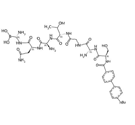 CCCCc1ccc(-c2ccc(C(=O)N[C@H](CO)C(=O)N[C@H](N)C(=O)NCC(=O)N[C@H](C(=O)N[C@@H](N)C(=O)N[C@@H](CC(N)=O)C(=O)N[C@@H](N)B(O)O)C(C)O)cc2)cc1